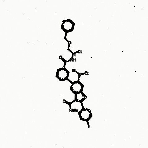 CC[C@H](COCc1ccccc1)NC(=O)c1cccc(-c2cc3c(C(=O)NC)c(-c4ccc(F)cc4)oc3cc2N(CC)CC)c1